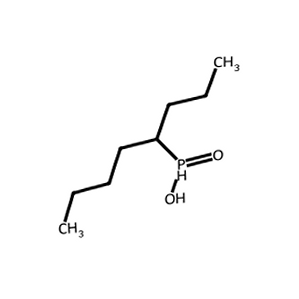 CCCCC(CCC)[PH](=O)O